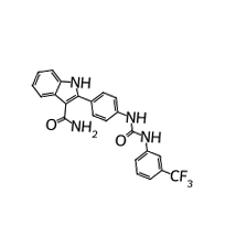 NC(=O)c1c(-c2ccc(NC(=O)Nc3cccc(C(F)(F)F)c3)cc2)[nH]c2ccccc12